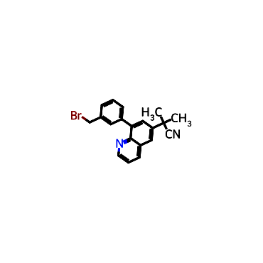 CC(C)(C#N)c1cc(-c2cccc(CBr)c2)c2ncccc2c1